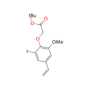 C=Cc1cc(I)c(OCC(=O)OC(C)(C)C)c(OC)c1